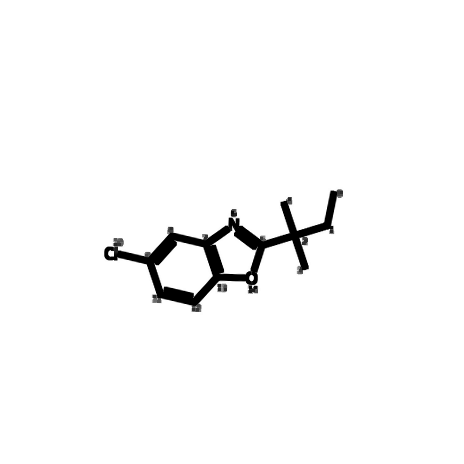 CCC(C)(C)c1nc2cc(Cl)ccc2o1